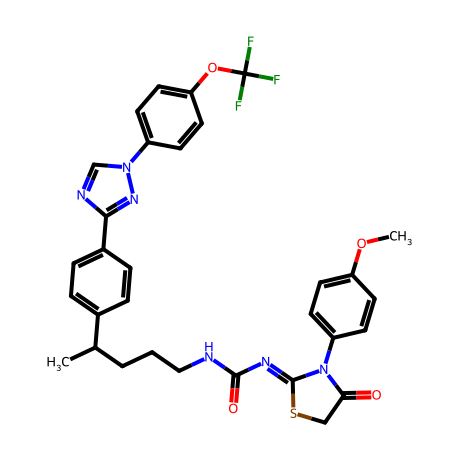 COc1ccc(N2C(=O)CS/C2=N\C(=O)NCCCC(C)c2ccc(-c3ncn(-c4ccc(OC(F)(F)F)cc4)n3)cc2)cc1